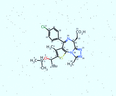 Cc1c(C(O[SiH](C)C)C(C)(C)C)sc2c1C(c1ccc(Cl)cc1)=N[C@@H](CC(=O)O)c1nnc(C)n1-2